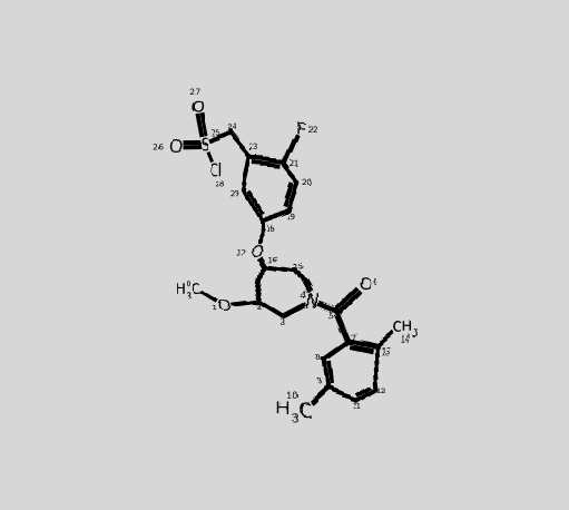 COC1CN(C(=O)c2cc(C)ccc2C)CC1Oc1ccc(F)c(CS(=O)(=O)Cl)c1